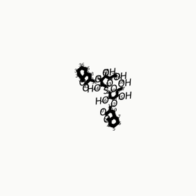 O=c1oc2ccccc2cc1COC1[C@@H](O)C(CO)O[C@@H](S[C@@H]2OC(CO)[C@H](O)[C@H](OCc3cc4ccccc4oc3=O)C2O)[C@@H]1O